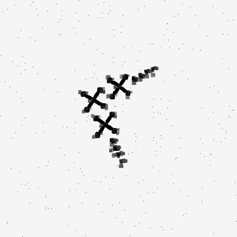 [O-][Si]([O-])([O-])[O-].[O-][Si]([O-])([O-])[O-].[O-][Si]([O-])([O-])[O-].[Sc].[Sc].[Sc].[Sc].[Y+3].[Y+3].[Y+3].[Y+3]